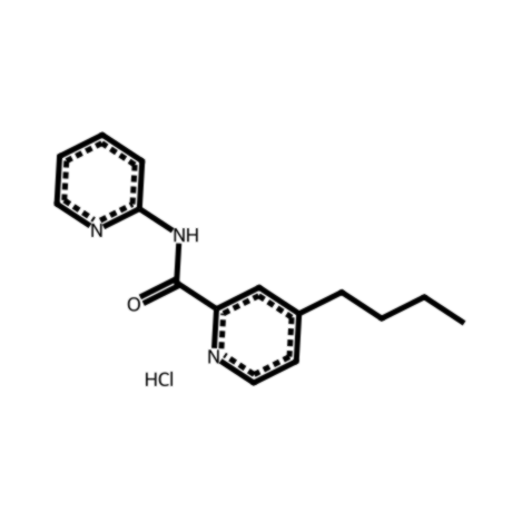 CCCCc1ccnc(C(=O)Nc2ccccn2)c1.Cl